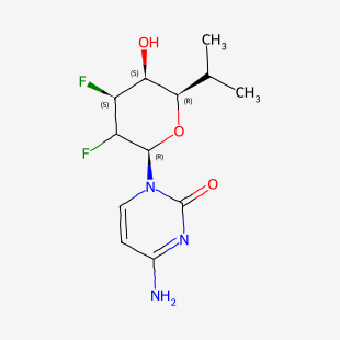 CC(C)[C@H]1O[C@@H](n2ccc(N)nc2=O)C(F)[C@@H](F)[C@H]1O